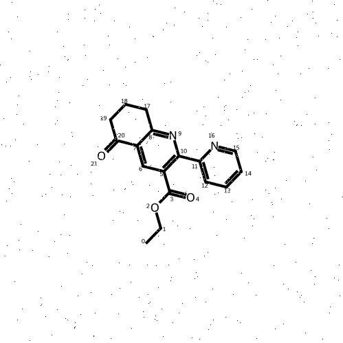 CCOC(=O)c1cc2c(nc1-c1ccccn1)CCCC2=O